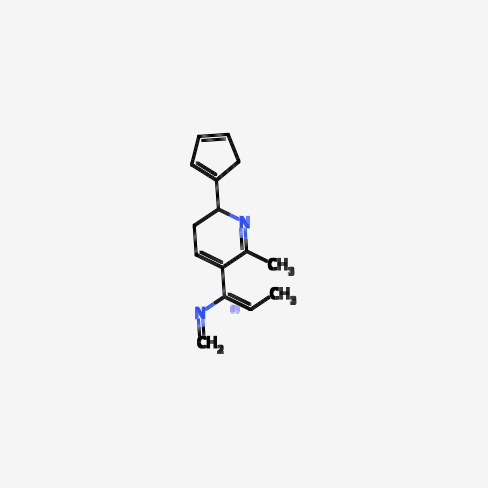 C=N/C(=C/C)C1=CCC(C2=CC=CC2)N=C1C